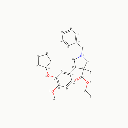 CCOC(=O)C1(C)CN(Cc2ccccc2)CC1c1ccc(OC)c(OC2CCCC2)c1